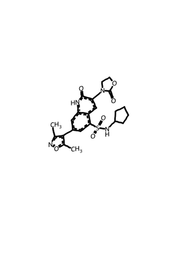 Cc1noc(C)c1-c1cc(S(=O)(=O)NC2CCCC2)c2cc(N3CCOC3=O)c(=O)[nH]c2c1